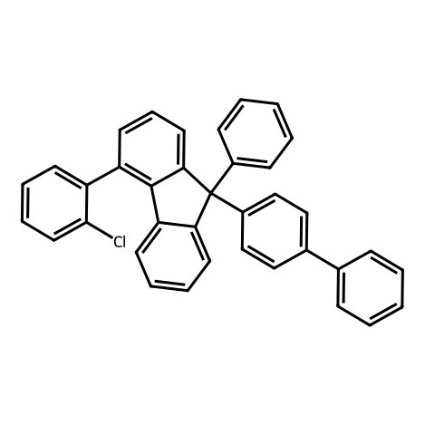 Clc1ccccc1-c1cccc2c1-c1ccccc1C2(c1ccccc1)c1ccc(-c2ccccc2)cc1